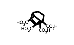 O=C(O)C1C2C=CC(C(=O)O)(CC2)C1(C(=O)O)C(=O)O